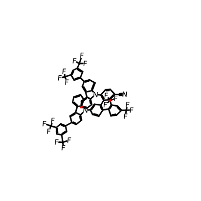 N#Cc1ccc(-n2c3ccccc3c3cc(-c4cc(C(F)(F)F)cc(C(F)(F)F)c4)ccc32)c(-c2cc(-n3c4ccccc4c4cc(-c5cc(C(F)(F)F)cc(C(F)(F)F)c5)ccc43)ccc2-c2ccc(C(F)(F)F)cc2C(F)(F)F)c1